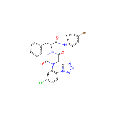 O=C(Nc1ccc(Br)cc1)C(Cc1ccccc1)N1CC(=O)N(c2cc(Cl)ccc2-n2cnnn2)CC1=O